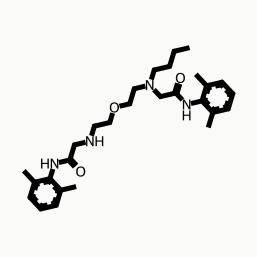 CCCCN(CCOCCNCC(=O)Nc1c(C)cccc1C)CC(=O)Nc1c(C)cccc1C